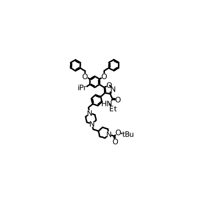 CCNC(=O)c1noc(-c2cc(C(C)C)c(OCc3ccccc3)cc2OCc2ccccc2)c1-c1ccc(CN2CCN(CC3CCN(C(=O)OC(C)(C)C)CC3)CC2)cc1